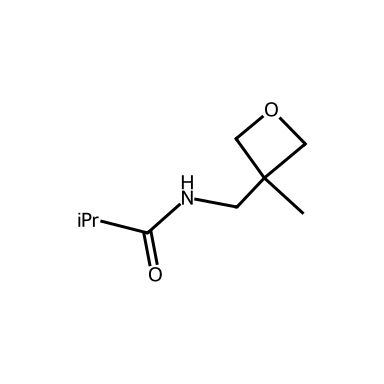 CC(C)C(=O)NCC1(C)COC1